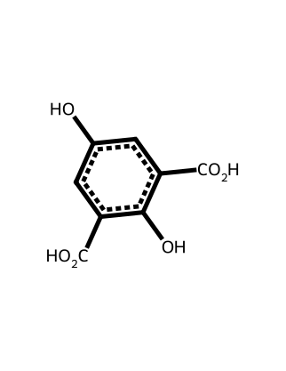 O=C(O)c1cc(O)cc(C(=O)O)c1O